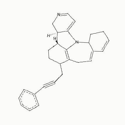 C(#Cc1ccccc1)CC1CC[C@H]2C3=C1CC=C1C=CCCC1N3C1=CC=NC[C@@H]12